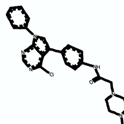 CN1CCN(CC(=O)Nc2ccc(-c3cn(-c4ccccc4)c4ncnc(Cl)c34)cc2)CC1